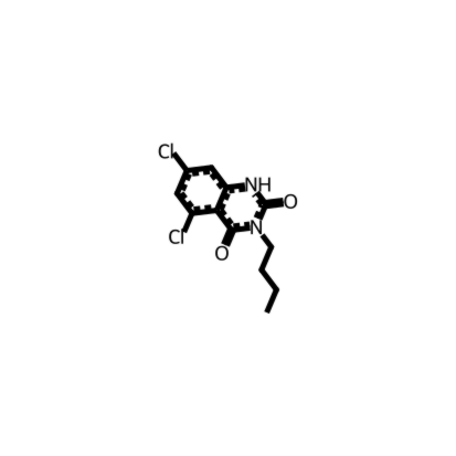 CCCCn1c(=O)[nH]c2cc(Cl)cc(Cl)c2c1=O